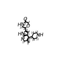 O=C1COC(c2cc3c(C4CCNCC4)c(F)cnc3[nH]2)CN1